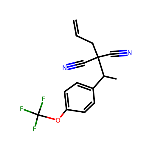 C=CCC(C#N)(C#N)C(C)c1ccc(OC(F)(F)F)cc1